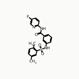 Cc1ccc(C)c(S(=O)(=O)Nc2cccc(C(=O)Nc3ccc(F)cn3)c2)c1